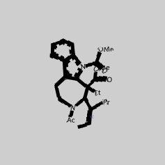 C/C=C(/C(C)C)C1N(C(C)=O)CCc2c(n(C(=O)OC)c3ccccc23)C1(CC)C(=O)OC